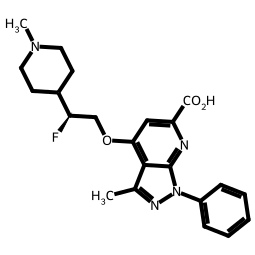 Cc1nn(-c2ccccc2)c2nc(C(=O)O)cc(OC[C@@H](F)C3CCN(C)CC3)c12